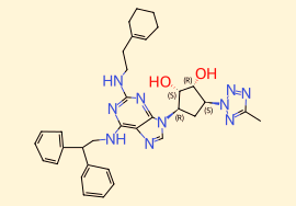 Cc1nnn([C@H]2C[C@@H](n3cnc4c(NCC(c5ccccc5)c5ccccc5)nc(NCCC5=CCCCC5)nc43)[C@H](O)[C@@H]2O)n1